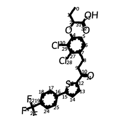 CCC(Oc1ccc(CCC(=O)c2ccc(-c3ccc(C(F)(F)F)cc3)s2)c(Cl)c1Cl)C(=O)O